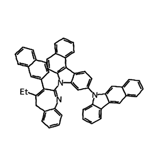 CCC1=C(c2ccc3ccccc3c2)C(n2c3cc(-n4c5ccccc5c5cc6ccccc6cc54)ccc3c3c4ccccc4ccc32)=Nc2ccccc2C1